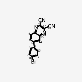 N#Cc1nc2ccc(-c3ccc(Br)cc3)cc2nc1C#N